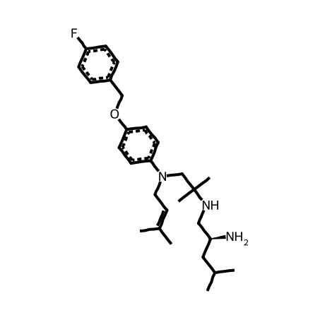 CC(C)=CCN(CC(C)(C)NC[C@@H](N)CC(C)C)c1ccc(OCc2ccc(F)cc2)cc1